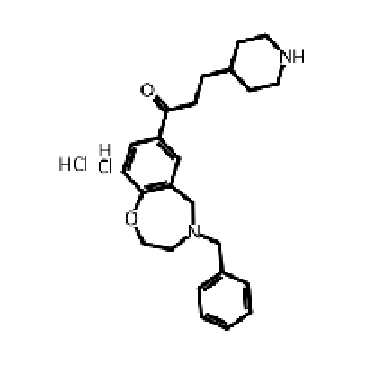 Cl.Cl.O=C(CCC1CCNCC1)c1ccc2c(c1)CN(Cc1ccccc1)CCO2